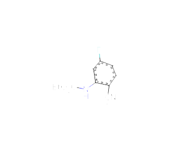 CCOC(=O)Nc1cc(F)ccc1C#N